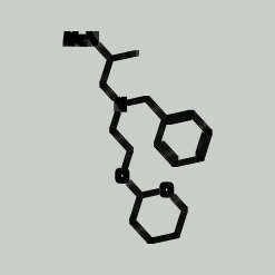 CNC(C)CN(CCOC1CCCCO1)Cc1ccccc1